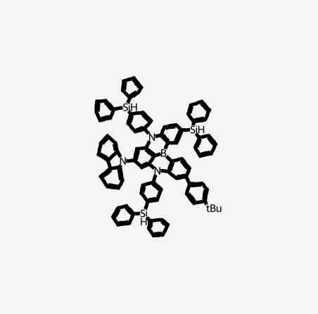 CC(C)(C)c1ccc(-c2ccc3c(c2)N(c2ccc([SiH](c4ccccc4)c4ccccc4)cc2)c2cc(-n4c5ccccc5c5ccccc54)cc4c2B3c2cc([SiH](c3ccccc3)c3ccccc3)ccc2N4c2ccc([SiH](c3ccccc3)c3ccccc3)cc2)cc1